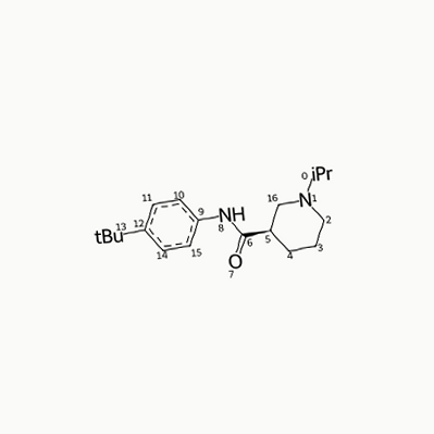 CC(C)N1CCC[C@@H](C(=O)Nc2ccc(C(C)(C)C)cc2)C1